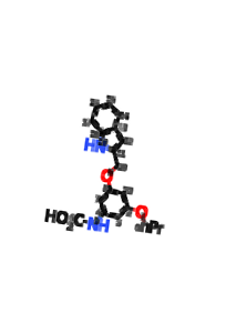 CCCOc1cc(NC(=O)O)cc(OCc2cc3ccccc3[nH]2)c1